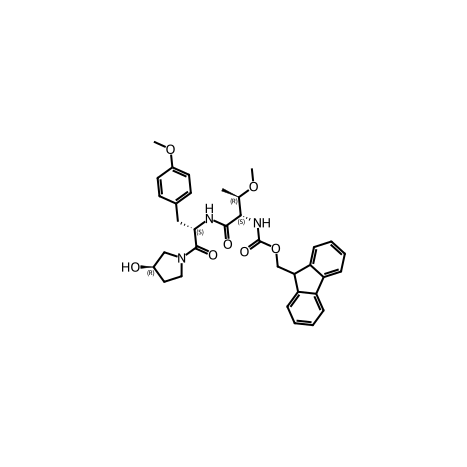 COc1ccc(C[C@H](NC(=O)[C@@H](NC(=O)OCC2c3ccccc3-c3ccccc32)[C@@H](C)OC)C(=O)N2CC[C@@H](O)C2)cc1